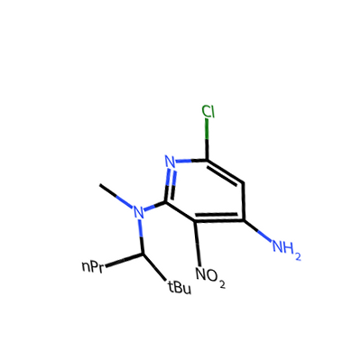 CCCC(N(C)c1nc(Cl)cc(N)c1[N+](=O)[O-])C(C)(C)C